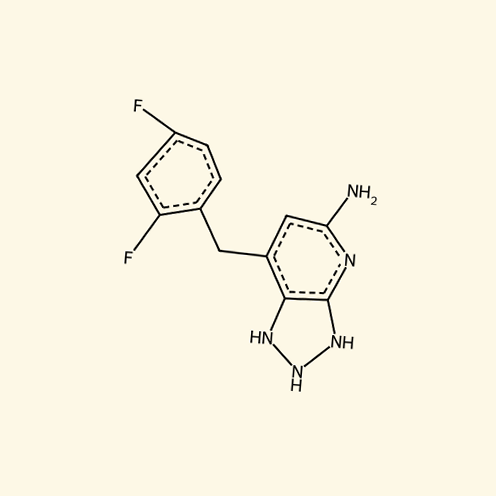 Nc1cc(Cc2ccc(F)cc2F)c2c(n1)NNN2